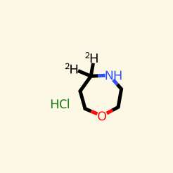 Cl.[2H]C1([2H])CCOCCN1